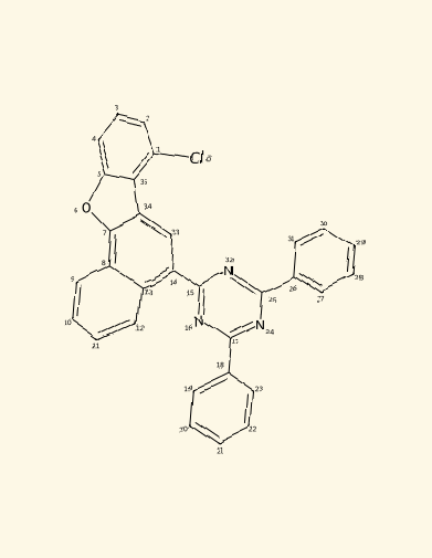 Clc1cccc2oc3c4ccccc4c(-c4nc(-c5ccccc5)nc(-c5ccccc5)n4)cc3c12